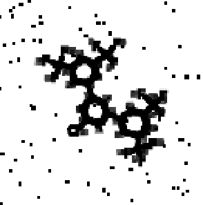 FC(F)(F)c1cc(-c2cc(Cl)cc(-c3cc(C(F)(F)F)cc(C(F)(F)F)c3)c2)cc(C(F)(F)F)c1